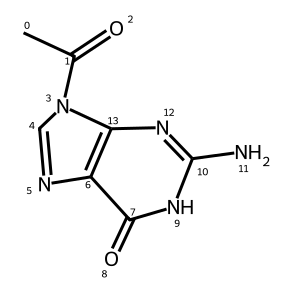 CC(=O)n1cnc2c(=O)[nH]c(N)nc21